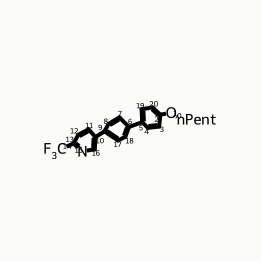 CCCCCOc1ccc(-c2ccc(-c3ccc(C(F)(F)F)nc3)cc2)cc1